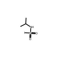 CC(C)NS(=O)(=O)I